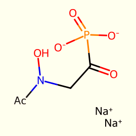 CC(=O)N(O)CC(=O)P(=O)([O-])[O-].[Na+].[Na+]